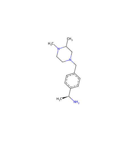 CC1CN(Cc2ccc([C@H](C)N)cc2)CCN1C